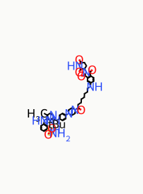 Cc1cnc(Nc2ccc(N3CCN(C(=O)CCCCCCCNc4ccc5c(c4)C(=O)N(C4CCC(=O)NC4=O)C5=O)CC3)cc2)nc1Nc1cccc(S(N)(=O)=O)c1C(C)(C)C